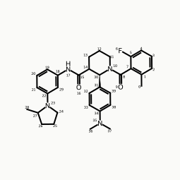 Cc1cccc(F)c1C(=O)N1CCCC(C(=O)Nc2cccc(N3CCCC3C)c2)[C@@H]1c1ccc(N(C)C)cc1